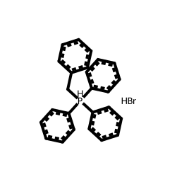 Br.c1ccc(C[PH](c2ccccc2)(c2ccccc2)c2ccccc2)cc1